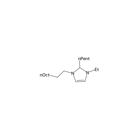 CCCCCCCCCCN1C=CN(CC)C1CCCCC